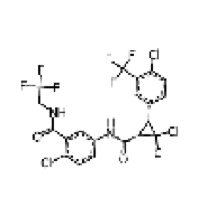 O=C(NCC(F)(F)F)c1cc(NC(=O)[C@H]2[C@H](c3ccc(Cl)c(C(F)(F)F)c3)C2(Cl)Cl)ccc1Cl